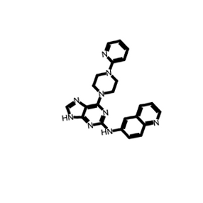 c1ccc(N2CCN(c3nc(Nc4ccc5ncccc5c4)nc4[nH]cnc34)CC2)nc1